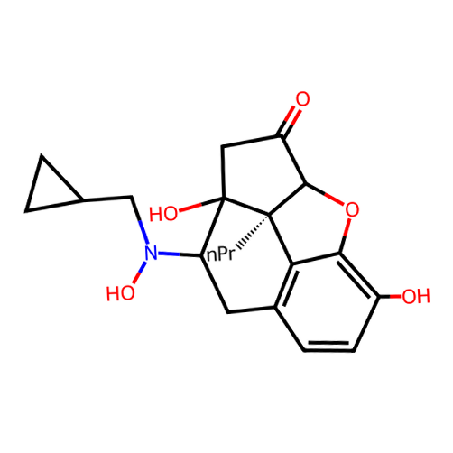 CCC[C@@]12c3c4ccc(O)c3OC1C(=O)CC2(O)C(N(O)CC1CC1)C4